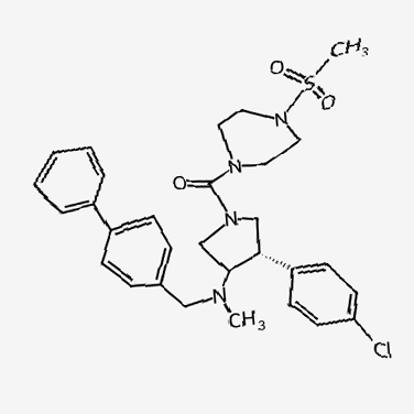 CN(Cc1ccc(-c2ccccc2)cc1)C1CN(C(=O)N2CCN(S(C)(=O)=O)CC2)C[C@@H]1c1ccc(Cl)cc1